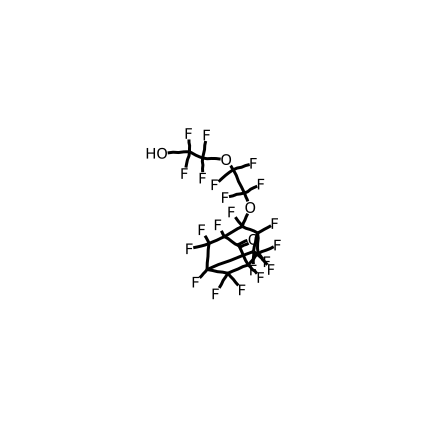 O=C1C2(F)C(F)(F)C3(F)C(F)(F)C1(F)C(F)(OC(F)(F)C(F)(F)OC(F)(F)C(O)(F)F)C(F)(C2(F)F)C3(F)F